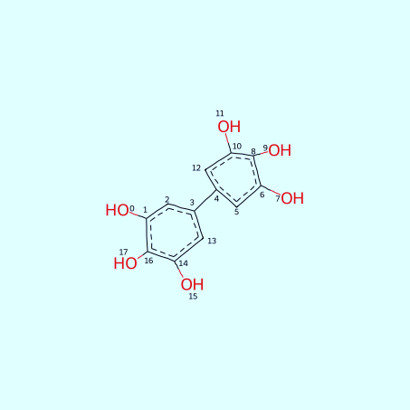 Oc1cc(-c2cc(O)c(O)c(O)c2)cc(O)c1O